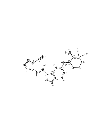 N#Cc1sccc1NC(=O)c1csc2ncc(N[C@@H]3CCCC(F)(F)[C@@H]3N)nc12